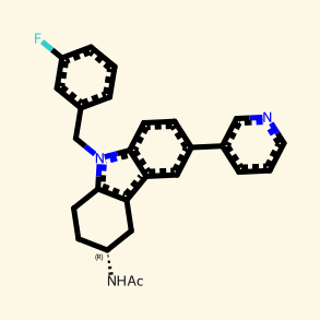 CC(=O)N[C@@H]1CCc2c(c3cc(-c4cccnc4)ccc3n2Cc2cccc(F)c2)C1